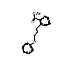 COC(=O)c1ccccc1CCCOc1ccccc1